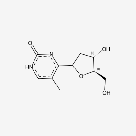 Cc1c[nH]c(=O)nc1C1C[C@H](O)[C@@H](CO)O1